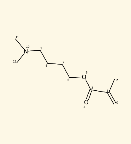 C=C(C)C(=O)OCCCCN(C)C